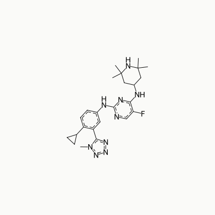 Cn1nnnc1-c1cc(Nc2ncc(F)c(NC3CC(C)(C)NC(C)(C)C3)n2)ccc1C1CC1